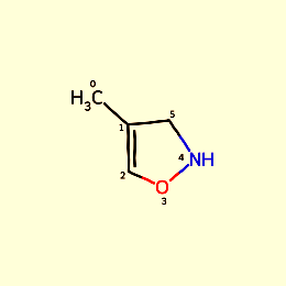 CC1=CONC1